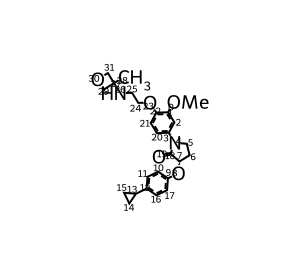 COc1cc(N2CC[C@H](Oc3ccc(C4CC4)cc3)C2=O)ccc1OCCNC1(C)COC1